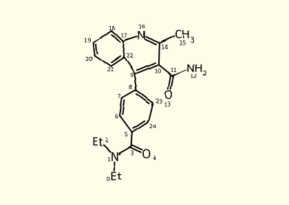 CCN(CC)C(=O)c1ccc(-c2c(C(N)=O)c(C)nc3ccccc23)cc1